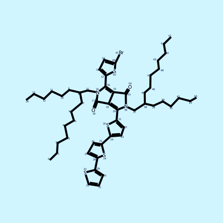 CCCCCCCCC(CCCCCC)CN1C(=O)C2=C(c3ccc(-c4ccc(-c5cccs5)s4)s3)N(CC(CCCCCC)CCCCCCCC)C(=O)C2=C1c1ccc(Br)s1